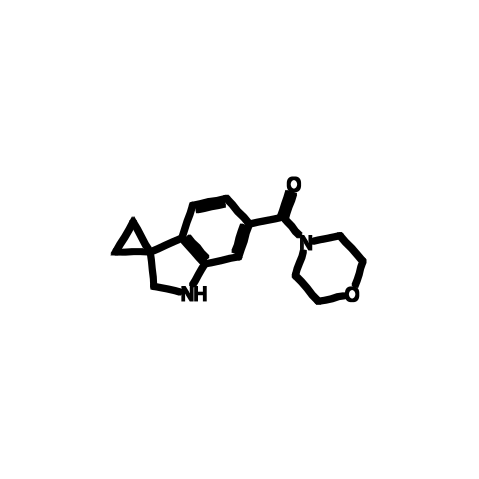 O=C(c1ccc2c(c1)NCC21CC1)N1CCOCC1